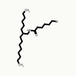 CCCCCCCCC(CCCCCC)CNC(=O)CCCCCBr